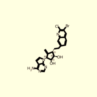 C=C1[C@@H](n2ccc3c(N)ncnc32)[C@H](O)[C@H](O)[C@H]1CCc1ccc2cc(Br)c(Cl)nc2c1